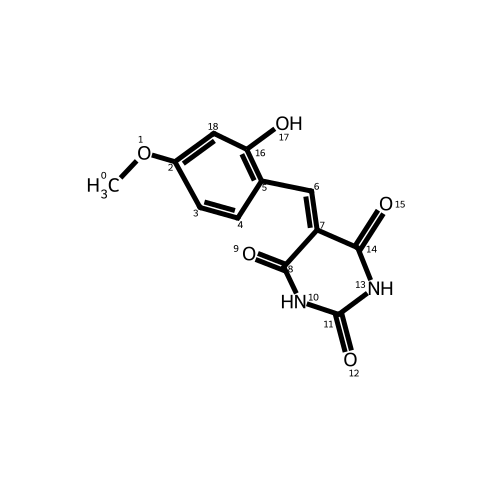 COc1ccc(C=C2C(=O)NC(=O)NC2=O)c(O)c1